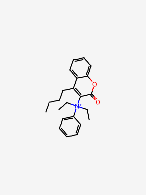 CCCCc1c([N+](CC)(CC)c2ccccc2)c(=O)oc2ccccc12